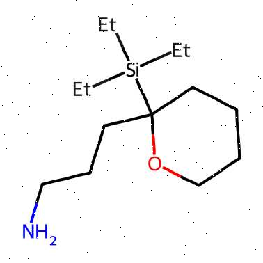 CC[Si](CC)(CC)C1(CCCN)CCCCO1